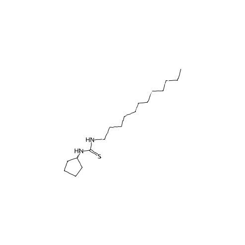 CCCCCCCCCCCCNC(=S)NC1CCCC1